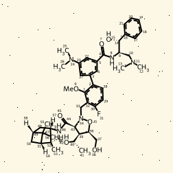 COc1c(-c2cc(C(=O)N[C@H](CN(C)C)[C@H](O)c3ccccc3)cc(N(C)C)c2)ccc(F)c1CN1O[C@@H](CO)[C@@H]([C@H](C)O)[C@H]1C(=O)N[C@H]1C[C@H]2C[C@@H]([C@@H]1C)C2(C)C